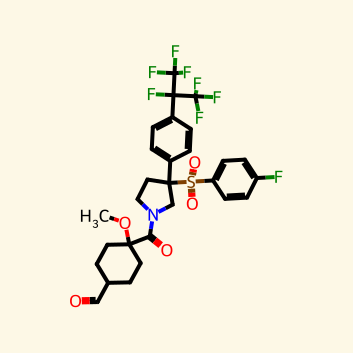 COC1(C(=O)N2CCC(c3ccc(C(F)(C(F)(F)F)C(F)(F)F)cc3)(S(=O)(=O)c3ccc(F)cc3)C2)CCC(C=O)CC1